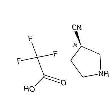 N#C[C@@H]1CCNC1.O=C(O)C(F)(F)F